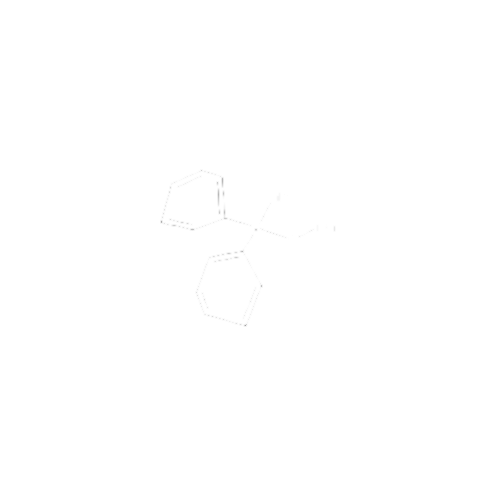 CCC[Si](OC(C)(C)C)(c1ccccc1)c1ccccc1